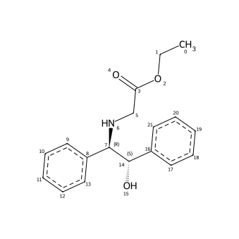 CCOC(=O)CN[C@H](c1ccccc1)[C@@H](O)c1ccccc1